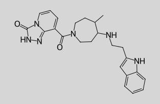 CC1CCN(C(=O)c2cccn3c(=O)[nH]nc23)CCC1NCCc1cc2ccccc2[nH]1